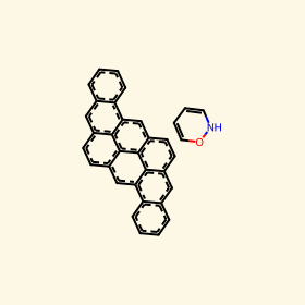 C1=CNOC=C1.c1ccc2c(c1)cc1ccc3cc4c5ccccc5cc5ccc6cc2c1c3c6c54